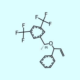 C=CC(O[C@H](C)c1cc(C(F)(F)F)cc(C(F)(F)F)c1)c1ccccc1